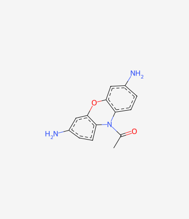 CC(=O)N1c2ccc(N)cc2Oc2cc(N)ccc21